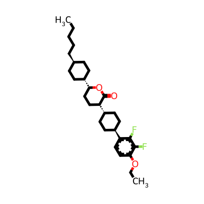 CCCCC[C@H]1CC[C@H](C2CCC([C@H]3CC[C@H](c4ccc(OCC)c(F)c4F)CC3)C(=O)O2)CC1